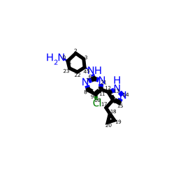 N[C@H]1CC[C@H](Nc2ncc(Cl)c(-c3[nH]ncc3CC3CC3)n2)CC1